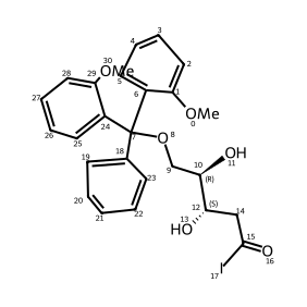 COc1ccccc1C(OC[C@@H](O)[C@@H](O)CC(=O)I)(c1ccccc1)c1ccccc1OC